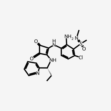 CC[C@@H](Nc1c(Nc2ccc(Cl)c(S(C)(=O)=NC)c2N)c(=O)c1=O)c1ccccn1